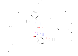 COc1cccc2c(=O)n(OC(=O)NCc3ccccc3C)[nH]c12